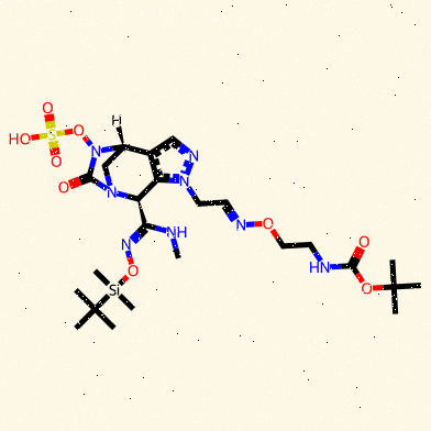 CN/C(=N\O[Si](C)(C)C(C)(C)C)[C@@H]1c2c(cnn2C/C=N/OCCNC(=O)OC(C)(C)C)[C@@H]2CN1C(=O)N2OS(=O)(=O)O